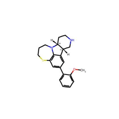 COc1ccccc1-c1cc2c3c(c1)[C@H]1CNCC[C@H]1N3CCCS2